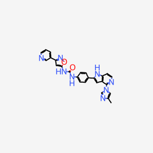 Cc1cn(-c2nccc3[nH]c(-c4ccc(NC(=O)Nc5cc(-c6cccnc6)no5)cc4)cc23)cn1